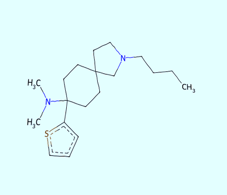 CCCCN1CCC2(CCC(c3cccs3)(N(C)C)CC2)C1